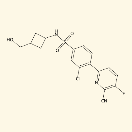 N#Cc1nc(-c2ccc(S(=O)(=O)NC3CC(CO)C3)cc2Cl)ccc1F